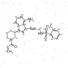 C=CC(=O)N1CCC[C@@H](n2nc(C#CCNS(=O)(=O)c3ccccc3C)c3c(N)ncnc32)C1